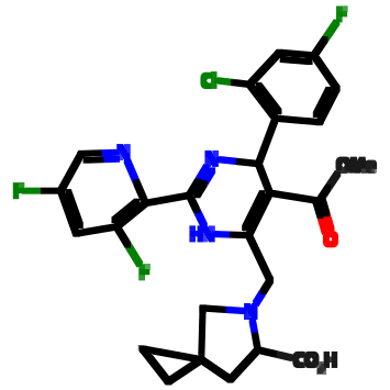 COC(=O)C1=C(CN2CC3(CC3)CC2C(=O)O)NC(c2ncc(F)cc2F)=NC1c1ccc(F)cc1Cl